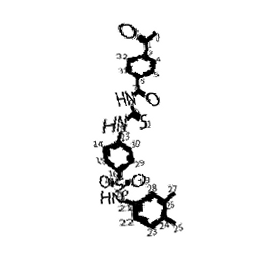 CC(=O)c1ccc(C(=O)NC(=S)Nc2ccc(S(=O)(=O)Nc3ccc(C)c(C)c3)cc2)cc1